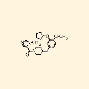 COc1ccc(CC2CCN(C(=O)c3cncn3C)CC2)cc1OC1CCCC1